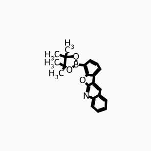 CC1(C)OB(c2cccc3c2oc2nc4ccccc4cc23)OC1(C)C